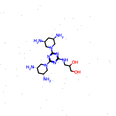 N[C@@H]1C[C@H](N)CN(c2nc(NCC(O)CO)nc(N3C[C@H](N)C[C@H](N)C3)n2)C1